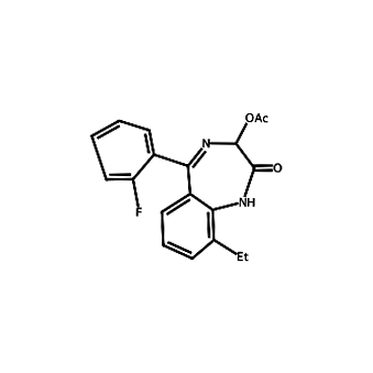 CCc1cccc2c1NC(=O)C(OC(C)=O)N=C2c1ccccc1F